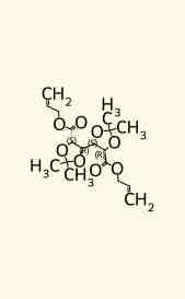 C=CCOC(=O)[C@H]1OC(C)(C)O[C@@H]1[C@@H]1OC(C)(C)O[C@H]1C(=O)OCC=C